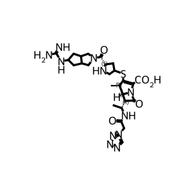 CC(NC(=O)Cn1cnnn1)[C@H]1C(=O)N2C(C(=O)O)=C(SC3CN[C@H](C(=O)N4CC5CC(NC(=N)N)CC5C4)C3)[C@H](C)[C@H]12